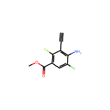 C#Cc1c(N)c(F)cc(C(=O)OC)c1F